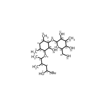 CCC(C)C(O)CC(C)C(C)OC1C(C)CC(C)C(OC2OC(CS)C(O)C(C)C2O)C1O